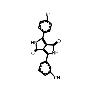 N#Cc1cccc(C2=C3C(=O)NC(c4ccc(Br)cc4)=C3C(=O)N2)c1